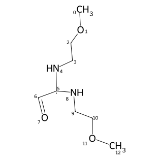 COCCN[C](C=O)NCCOC